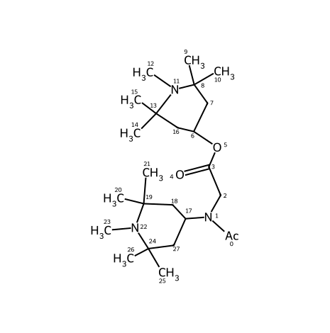 CC(=O)N(CC(=O)OC1CC(C)(C)N(C)C(C)(C)C1)C1CC(C)(C)N(C)C(C)(C)C1